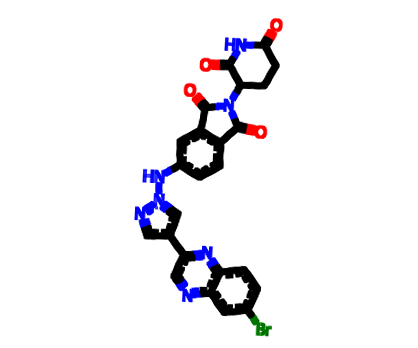 O=C1CCC(N2C(=O)c3ccc(Nn4cc(-c5cnc6cc(Br)ccc6n5)cn4)cc3C2=O)C(=O)N1